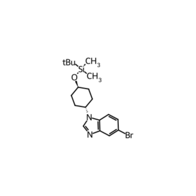 CC(C)(C)[Si](C)(C)O[C@H]1CC[C@H](n2cnc3cc(Br)ccc32)CC1